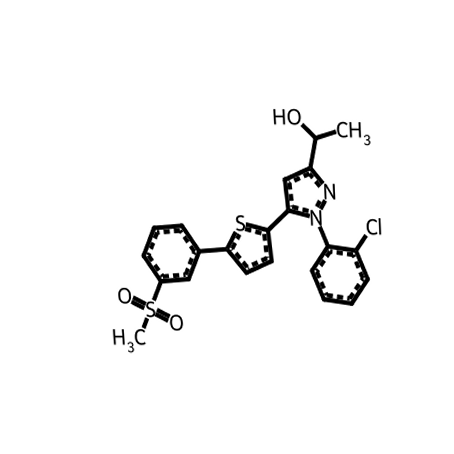 CC(O)c1cc(-c2ccc(-c3cccc(S(C)(=O)=O)c3)s2)n(-c2ccccc2Cl)n1